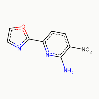 Nc1nc(-c2ncco2)ccc1[N+](=O)[O-]